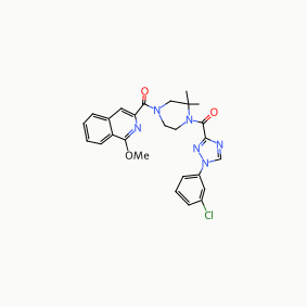 COc1nc(C(=O)N2CCN(C(=O)c3ncn(-c4cccc(Cl)c4)n3)C(C)(C)C2)cc2ccccc12